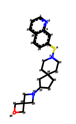 c1cnc2cc(SN3CCC4(CCC(N5CC6(COC6)C5)C4)CC3)ccc2c1